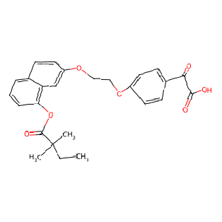 CCC(C)(C)C(=O)Oc1cccc2ccc(OCCOc3ccc(C(=O)C(=O)O)cc3)cc12